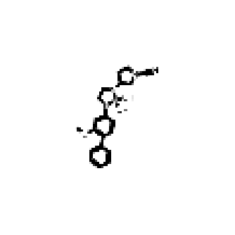 COc1cc(N2CCN(C3CCN(C#N)C3)S2(O)O)ccc1-c1ccccc1